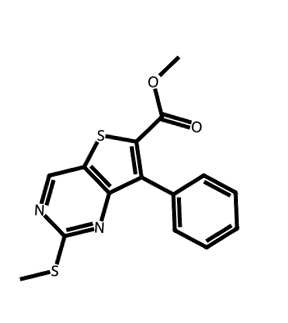 COC(=O)c1sc2cnc(SC)nc2c1-c1ccccc1